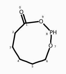 O=C1CCCCCOPO1